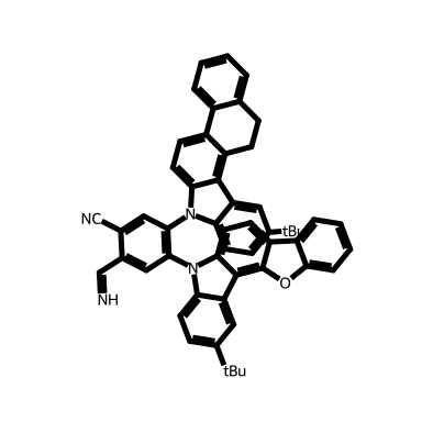 CC(C)(C)c1ccc2c(c1)c1c3c(ccc1n2-c1cc(C#N)c(C=N)cc1-n1c2ccc(C(C)(C)C)cc2c2c4oc5ccccc5c4ccc21)-c1ccccc1CC3